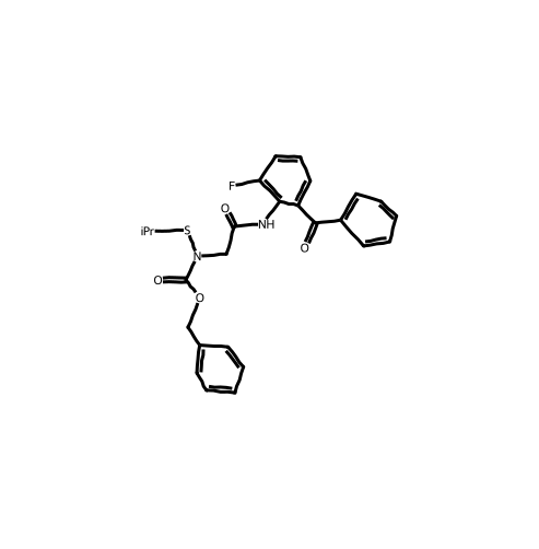 CC(C)SN(CC(=O)Nc1c(F)cccc1C(=O)c1ccccc1)C(=O)OCc1ccccc1